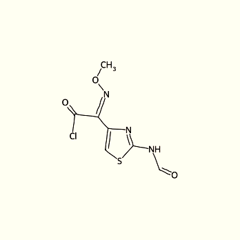 CO/N=C(\C(=O)Cl)c1csc(NC=O)n1